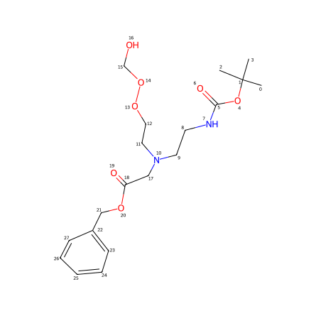 CC(C)(C)OC(=O)NCCN(CCOOCO)CC(=O)OCc1ccccc1